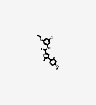 CCSc1cc(Cl)cc(NC(=O)c2cc(-c3ncc(OC)cc3F)c(C)s2)c1